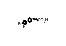 O=C(O)CCC=C[C@H]1CC[C@H](c2ccc(Br)c(F)c2)CC1